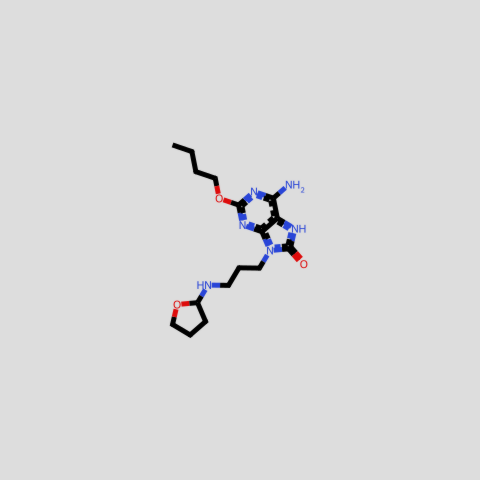 CCCCOc1nc(N)c2[nH]c(=O)n(CCCNC3CCCO3)c2n1